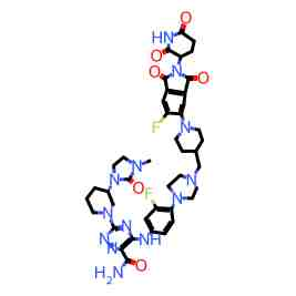 CN1CCN([C@@H]2CCCN(c3nnc(C(N)=O)c(Nc4ccc(N5CCN(CC6CCN(c7cc8c(cc7F)C(=O)N(C7CCC(=O)NC7=O)C8=O)CC6)CC5)c(F)c4)n3)C2)C1=O